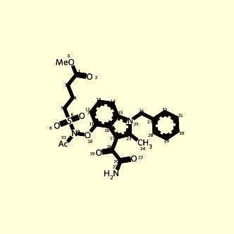 COC(=O)CCCS(=O)(=O)N(Oc1cccc2c1c(C(=O)C(N)=O)c(C)n2Cc1ccccc1)C(C)=O